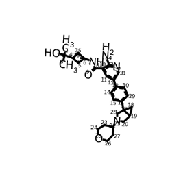 CC(C)(O)C12CC(NC(=O)c3cc(-c4ccc(C56CC5CN(C5CCOCC5)C6)cc4)cnc3N)(C1)C2